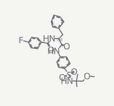 COCC(C)(C)NS(=O)(=O)c1ccc(NC(=O)[C@H](Cc2ccccc2)NC(=O)c2ccc(F)cc2)cc1